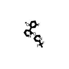 COc1ccc(F)cc1-c1cccnc1Oc1ccc(C(C)(F)F)nc1